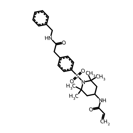 C=CC(=O)NC1CC(C)(C)N(S(=O)(=O)c2ccc(CC(=O)NCc3ccccc3)cc2)C(C)(C)C1